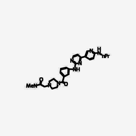 CCCNc1ccc(-c2ccnc(Nc3cccc(C(=O)N4CCN(CC(=O)NC)CC4)c3)n2)cn1